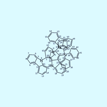 c1ccc(-n2c3ccccc3c3cccc(-n4c5ccccc5c5c([Si](c6ccccc6)(c6ccccc6)c6ccccc6)c(-n6c7ccccc7c7ccccc76)ccc54)c32)cc1